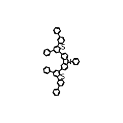 c1ccc(-c2ccc3sc4c(-c5ccc6c(c5)c5cc(-c7cc(-c8ccccc8)cc8c7sc7ccc(-c9ccccc9)cc78)ccc5n6-c5ccccc5)cc(-c5ccccc5)cc4c3c2)cc1